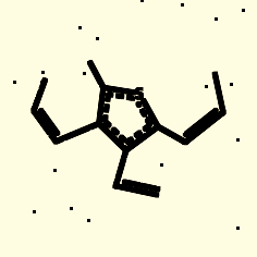 C=Cc1c(/C=C\C)sc(C)c1/C=C\C